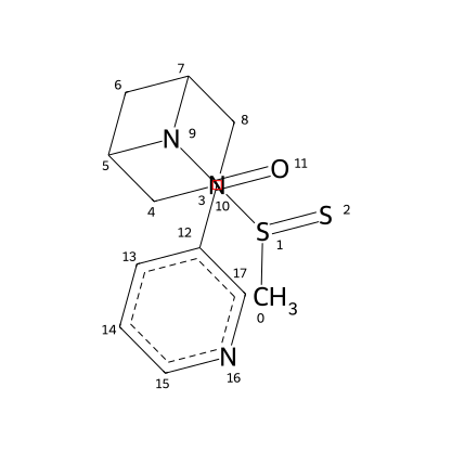 CS(=S)N1CC2CC(C1)N2C(=O)c1cccnc1